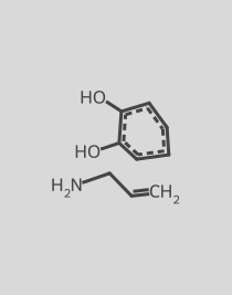 C=CCN.Oc1ccccc1O